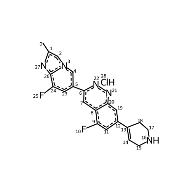 Cc1cn2cc(-c3cc4c(F)cc(C5=CCNCC5)cc4nn3)cc(F)c2n1.Cl